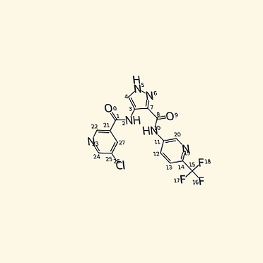 O=C(Nc1c[nH]nc1C(=O)Nc1ccc(C(F)(F)F)nc1)c1cncc(Cl)c1